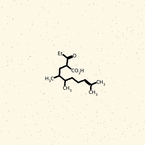 CCC(=O)C(CC(C)C(C)CCC=C(C)C)C(=O)O